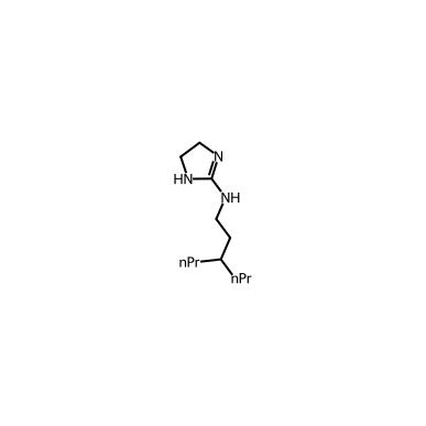 CCCC(CCC)CCNC1=NCCN1